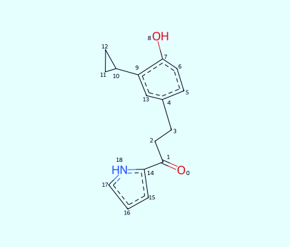 O=C(CCc1ccc(O)c(C2CC2)c1)c1ccc[nH]1